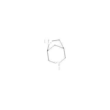 C1NCC2CC1CN2